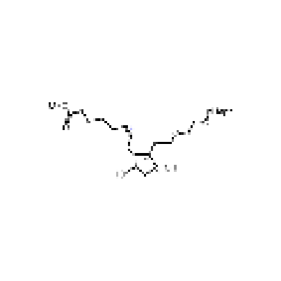 CCCCCCCOCCOCC[C@@H]1C(C/C=C\CCCCC(=O)OC)C(O)C[C@H]1O